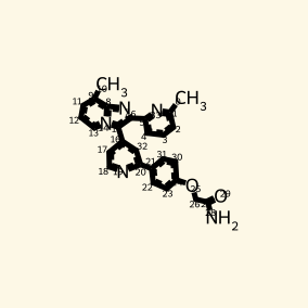 Cc1cccc(-c2nc3c(C)cccn3c2-c2ccnc(-c3ccc(OCC(N)=O)cc3)c2)n1